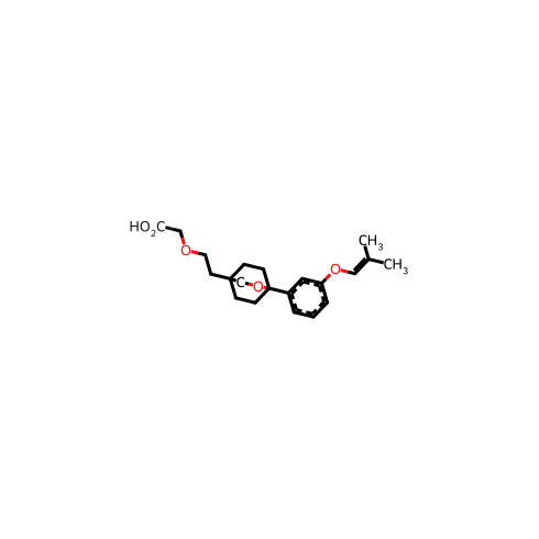 CC(C)=COc1cccc(C23CCC(CCOCC(=O)O)(CC2)CO3)c1